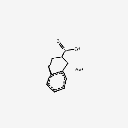 O=S(O)C1CCc2ccccc2C1.[NaH]